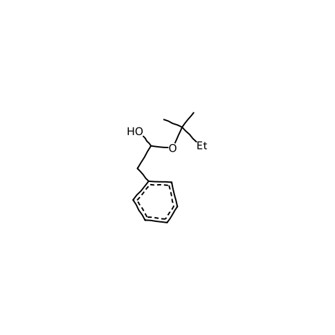 CCC(C)(C)OC(O)Cc1ccccc1